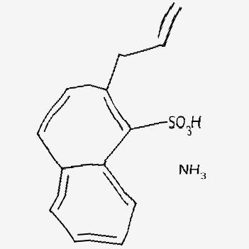 C=CCc1ccc2ccccc2c1S(=O)(=O)O.N